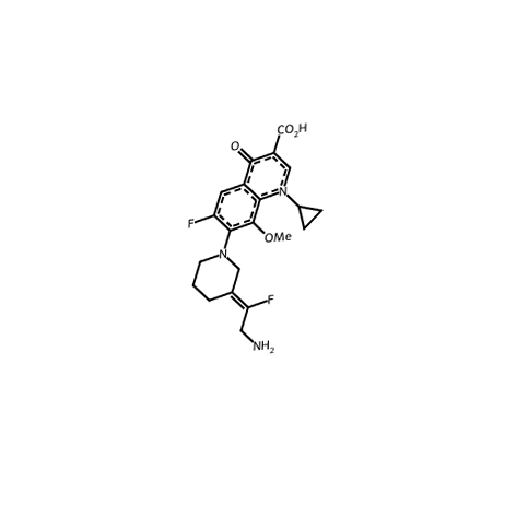 COc1c(N2CCC/C(=C(/F)CN)C2)c(F)cc2c(=O)c(C(=O)O)cn(C3CC3)c12